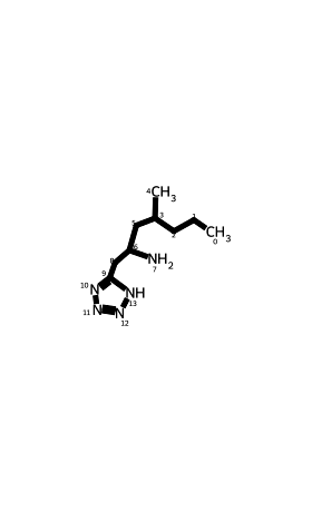 CCCC(C)CC(N)Cc1nnn[nH]1